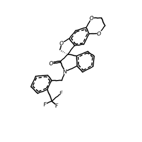 O=C1N(Cc2ccccc2C(F)(F)F)c2ccccc2[C@@]12COc1cc3c(cc12)OCCO3